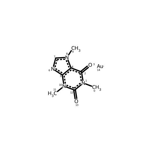 Cn1c(=O)c2c(ncn2C)n(C)c1=O.[Au]